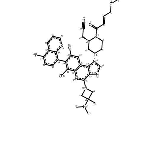 COC/C=C/C(=O)N1CC[C@H](n2nnc3c(N4CC(C)(N(C)C)C4)nc4c(Cl)c(-c5ccc(F)c6cccnc56)c(Cl)cc4c32)C[C@H]1CC#N